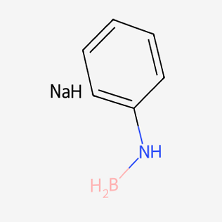 BNc1ccccc1.[NaH]